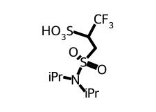 CC(C)N(C(C)C)S(=O)(=O)CC(C(F)(F)F)S(=O)(=O)O